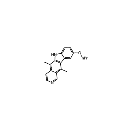 CCCOc1ccc2[nH]c3c(C)c4ccncc4c(C)c3c2c1